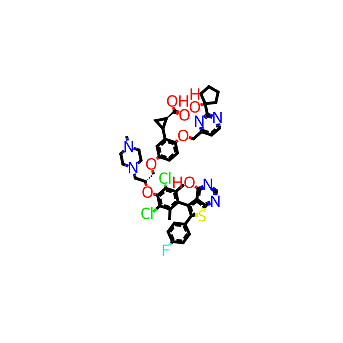 Cc1c(Cl)c(O[C@@H](COc2ccc(OCc3ccnc(C4(O)CCCC4)n3)c(C3C[C@H]3C(=O)O)c2)CN2CCN(C)CC2)c(Cl)c(C)c1-c1c(-c2ccc(F)cc2)sc2ncnc(O)c12